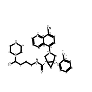 CCC(CCCNC(=O)[C@]12CN(c3ccc(C#N)c4ncccc34)C[C@@]1(c1ccccc1C(F)(F)F)C2)N1CCOCC1